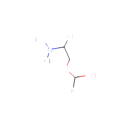 CCC(O)OCC(C)N(C)C